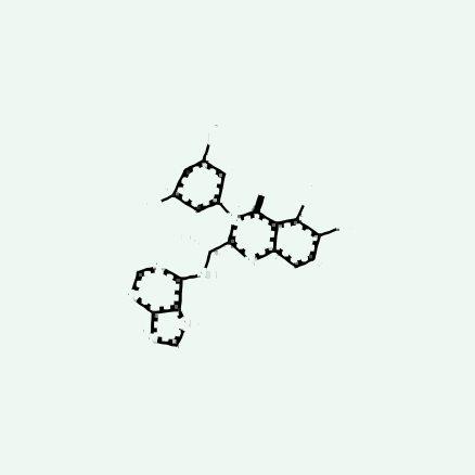 CC[C@@H](Nc1ncnc2[nH]cnc12)c1nc2ccc(F)c(Cl)c2c(=O)n1-c1cc(F)cc(F)c1